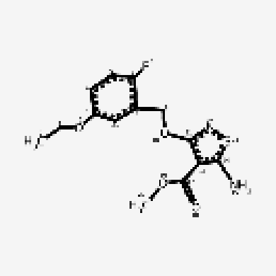 CCOc1ccc(F)c(COc2nsc(N)c2C(=O)OC)c1